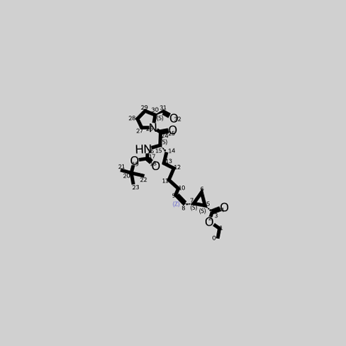 CCOC(=O)[C@H]1C[C@H]1/C=C\CCCCC[C@H](NC(=O)OC(C)(C)C)C(=O)N1CCC[C@H]1C=O